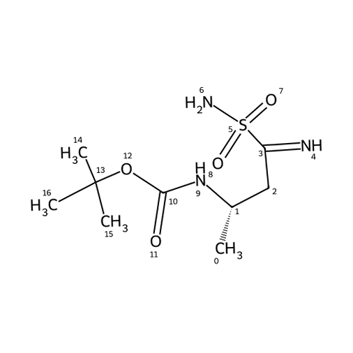 C[C@@H](CC(=N)S(N)(=O)=O)NC(=O)OC(C)(C)C